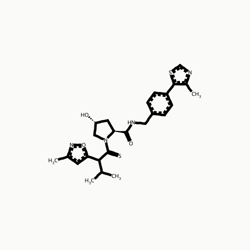 Cc1cc(C(C(=S)N2C[C@H](O)C[C@H]2C(=O)NCc2ccc(-c3scnc3C)cc2)C(C)C)on1